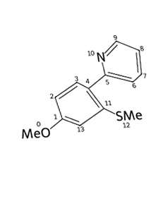 COc1ccc(-c2ccccn2)c(SC)c1